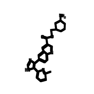 Cc1cccc(-c2[nH]cnc2-c2ccc3ncc(C(=O)OCC4CCCC(N)C4)cc3c2)n1